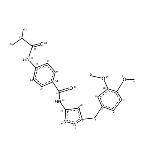 COc1ccc(Cc2nnc(NC(=O)c3ccc(NC(=O)C(C)C)cc3)s2)cc1OC